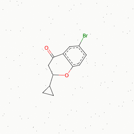 O=C1CC(C2CC2)Oc2ccc(Br)cc21